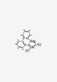 Clc1nc(Cl)c(-c2ccccc2)c(-c2ccccc2)n1